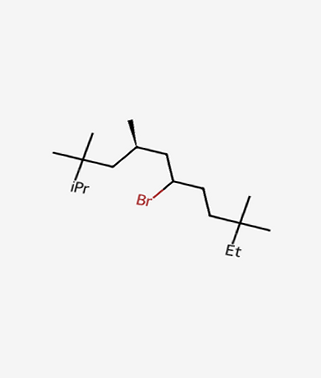 CCC(C)(C)CCC(Br)C[C@H](C)CC(C)(C)C(C)C